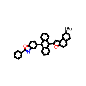 CC(C)(C)c1ccc2ccc3oc(-c4c5ccccc5c(-c5ccc6oc(-c7ccccc7)nc6c5)c5ccccc45)cc3c2c1